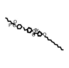 CCCCCCCCCCCCOc1ccc(C(=O)Oc2ccc(CC[C@H]3CC[C@H](OC(=O)[C@@H](F)CCCC)CC3)cc2)c(Br)c1